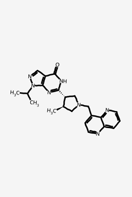 CC(C)n1ncc2c(=O)[nH]c([C@@H]3CN(Cc4ccnc5cccnc45)C[C@H]3C)nc21